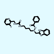 O=C(NCCCCN(Cc1nc2ccccc2[nH]1)OC(=O)c1ccccc1)NCc1ncccc1F